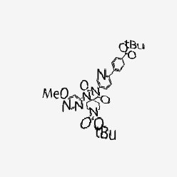 COc1cc(N2C(=O)N(c3ccc(-c4ccc(C(=O)OC(C)(C)C)cc4)nc3)C(=O)C23CCN(C(=O)OC(C)(C)C)CC3)ncn1